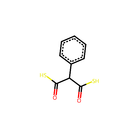 O=C(S)C(C(=O)S)c1ccccc1